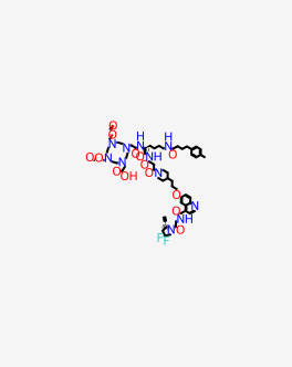 C#C[C@H]1CC(F)(F)CN1C(=O)CNC(=O)c1ccnc2ccc(OCCCC3CCN(C(=O)CC(=O)NC(=O)[C@H](CCCCNC(=O)CCCc4ccc(C)cc4)NC(=O)CN4CCN(COC=O)CCN(COC=O)CCN(CC(=O)O)CC4)CC3)cc12